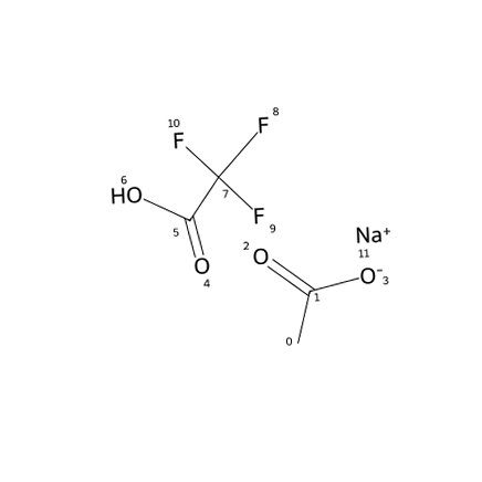 CC(=O)[O-].O=C(O)C(F)(F)F.[Na+]